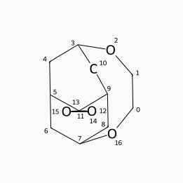 C1COC2CC3CC(CC(C2)C32OCCO2)O1